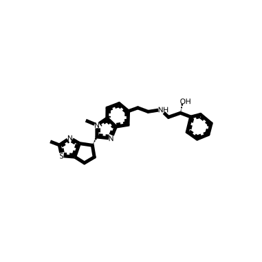 Cc1nc2c(s1)CC[C@H]2c1nc2cc(CCNC[C@H](O)c3ccccc3)ccc2n1C